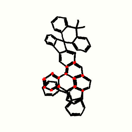 CC1(C)c2ccccc2C2(c3ccccc3-c3cc(N(c4ccccc4-c4ccccc4-c4ccccc4-c4ccccc4)c4cccc5c6ccccc6n(-c6ccccc6)c45)ccc32)c2ccccc21